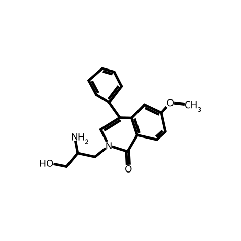 COc1ccc2c(=O)n(CC(N)CO)cc(-c3ccccc3)c2c1